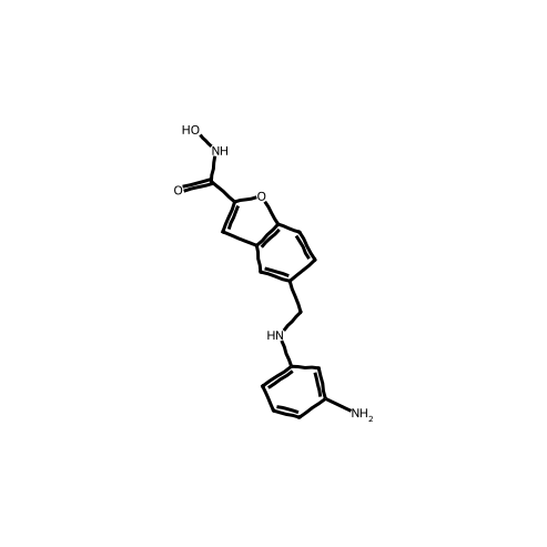 Nc1cccc(NCc2ccc3oc(C(=O)NO)cc3c2)c1